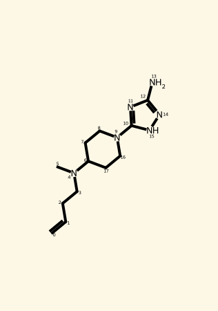 C=CCCN(C)C1CCN(c2nc(N)n[nH]2)CC1